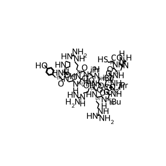 CC[C@H](C)[C@H](NC(=O)[C@H](CCCNC(=N)N)NC(=O)[C@H](CCCNC(=N)N)NC(=O)[C@@H](NC(=O)[C@@H](NC(=O)[C@H](CCCNC(=N)N)NC(=O)[C@H](CO)NC(=O)CNC(=O)[C@H](Cc1ccc(O)cc1)NC(=O)[C@@H]1CCCN1)C(C)C)[C@@H](C)CC)C(=O)N[C@@H](CC(C)C)C(=O)N[C@@H](CCC(=O)O)C(=O)N[C@@H](Cc1c[nH]cn1)C(=O)N[C@@H](CS)C(=O)O